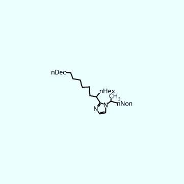 CCCCCCCCCCCCCCCCC(CCCCCC)c1nccn1C(C)CCCCCCCCC